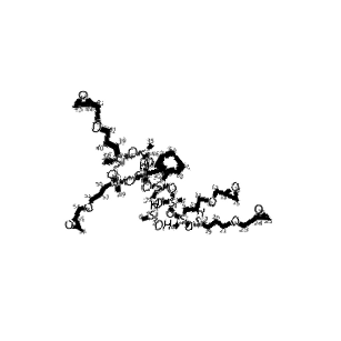 C[SiH](O)O[Si](C)(O[Si](C)(CCCOCC1CO1)O[SiH2]CCCOCC1CO1)O[Si](C)(O[Si]1(C)O[SiH](C)O[Si](C)(CCCOCC2CO2)O[Si](C)(CCCOCC2CO2)O1)c1ccccc1